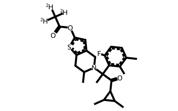 [2H]C([2H])([2H])C(=O)Oc1cc2c(s1)CC(C)N(C(C)(C(=O)C1C(C)C1C)c1c(F)ccc(C)c1C)C2